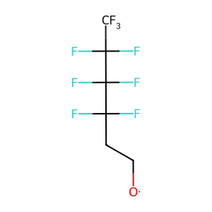 [O]CCC(F)(F)C(F)(F)C(F)(F)C(F)(F)F